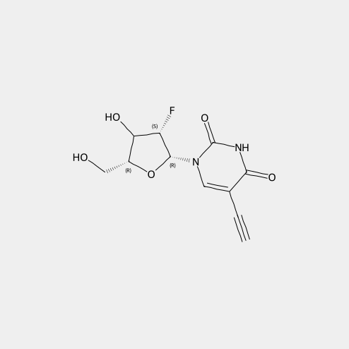 C#Cc1cn([C@@H]2O[C@H](CO)C(O)[C@@H]2F)c(=O)[nH]c1=O